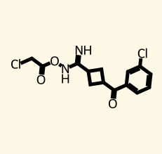 N=C(NOC(=O)CCl)C1CC(C(=O)c2cccc(Cl)c2)C1